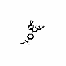 CCOC(=O)[C@H]1CC[C@H](C(CC(O)CO)c2ncc(Br)s2)CC1